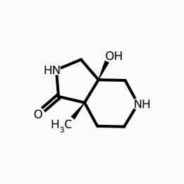 C[C@]12CCNC[C@@]1(O)CNC2=O